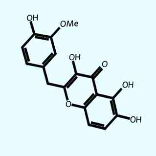 COc1cc(Cc2oc3ccc(O)c(O)c3c(=O)c2O)ccc1O